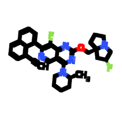 C#Cc1cccc2cccc(-c3ncc4c(N5CCCC[C@@H]5C)nc(OC[C@@]56CCCN5C[C@H](F)C6)nc4c3F)c12